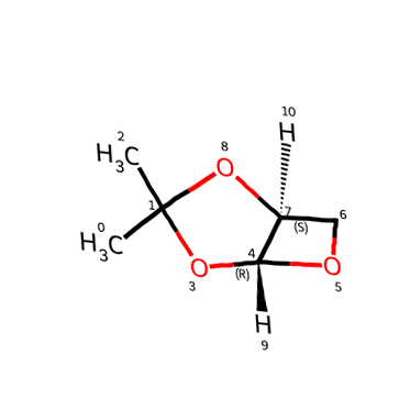 CC1(C)O[C@H]2OC[C@@H]2O1